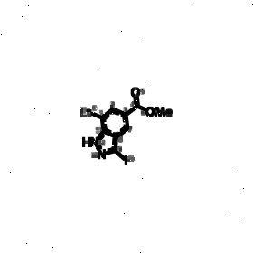 CCc1cc(C(=O)OC)cc2c(I)n[nH]c12